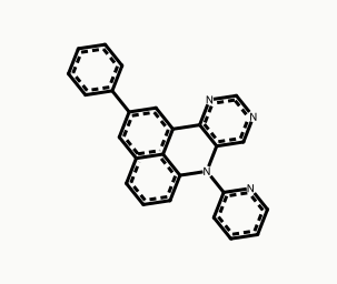 c1ccc(-c2cc3c4c(cccc4c2)N(c2ccccn2)c2cncnc2-3)cc1